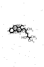 CC(C)C(O)CC[C@@H](C)[C@H]1CC[C@H]2[C@@H]3CCC4C=CC=C[C@]4(C)[C@H]3CC[C@]12C